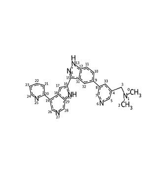 CN(C)Cc1cncc(-c2ccc3[nH]nc(-c4cc5c(-c6ccccn6)cncc5[nH]4)c3c2)c1